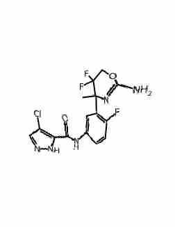 CC1(c2cc(NC(=O)c3[nH]ncc3Cl)ccc2F)N=C(N)OCC1(F)F